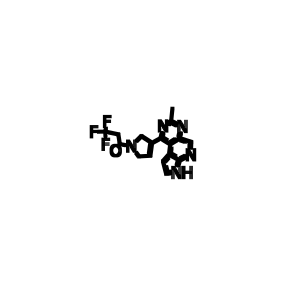 Cc1nc(C2=CCN(C(=O)CC(F)(F)F)C2)c2c(cnc3[nH]ccc32)n1